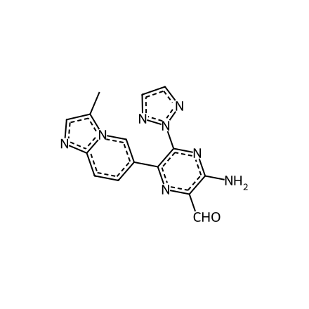 Cc1cnc2ccc(-c3nc(C=O)c(N)nc3-n3nccn3)cn12